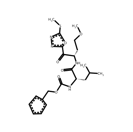 COCC[C@H](NC(=O)[C@H](CC(C)C)NC(=O)OCc1ccccc1)C(=O)c1nnc(SC)o1